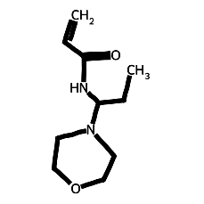 C=CC(=O)NC(CC)N1CCOCC1